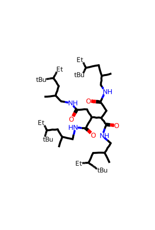 CCC(CC(C)CNC(=O)CC(C(=O)NCC(C)CC(CC)C(C)(C)C)C(CC(=O)NCC(C)CC(CC)C(C)(C)C)C(=O)NCC(C)CC(CC)C(C)(C)C)C(C)(C)C